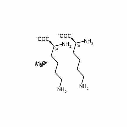 NCCCC[C@H](N)C(=O)[O-].NCCCC[C@H](N)C(=O)[O-].O.[Mg+2]